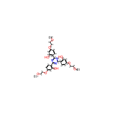 CCOCCOc1ccc(-c2nc(-c3ccc(OCCOCC)cc3O)nc(-c3ccc(OCCOCC)cc3O)n2)c(O)c1